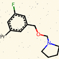 CC(C)c1cc(F)cc(COCN2CCCC2)c1